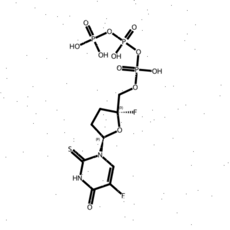 O=c1[nH]c(=S)n([C@H]2CC[C@@](F)(COP(=O)(O)OP(=O)(O)OP(=O)(O)O)O2)cc1F